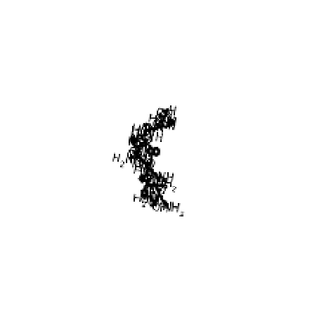 CSCCC(NC(=O)C(CCCCN)NC(=O)C(N)C(C)O)C(=O)NC(Cc1ccc(O)cc1)C(=O)N1CCCC1C(=O)NC(CCCNC(=N)N)C(=O)NCC(=O)NC(CC(N)=O)C(=O)NC(Cc1c[nH]cn1)C(=O)NC(Cc1c[nH]c2ccccc12)C(=O)NC(C)C(=O)NC(C(=O)NCC(=O)NC(Cc1c[nH]cn1)C(=O)NC(CC(C)C)C(=O)O)C(C)C